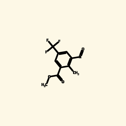 COC(=O)c1cc(C(F)(F)F)cc(N=O)c1C